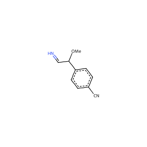 COC(C=N)c1ccc(C#N)cc1